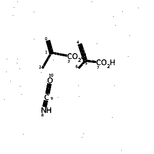 C=C(C)C(=O)O.C=C(C)C(=O)O.N=C=O